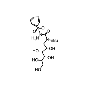 CCCCN(C[C@H](O)[C@@H](O)[C@H](O)[C@H](O)CO)C(=O)N(N)S(=O)(=O)c1ccccc1